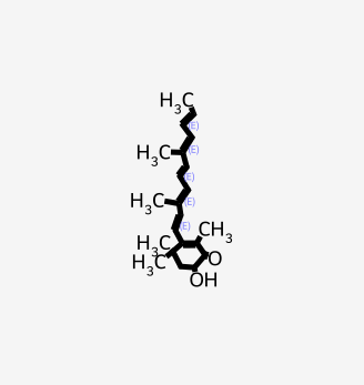 C/C=C/C=C(C)/C=C/C=C(C)/C=C/C1=C(C)C(=O)C(O)CC1(C)C